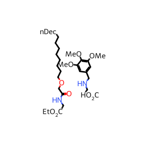 CCCCCCCCCCCCCCCCCCOCC(=O)NCC(=O)OCC.COc1cc(CNCC(=O)O)cc(OC)c1OC